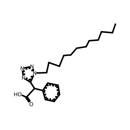 CCCCCCCCCCCCn1nnnc1C(C(=O)O)c1ccccc1